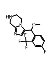 COC(c1ccc(F)cc1C(F)(F)F)c1cnc2n1CCNC2